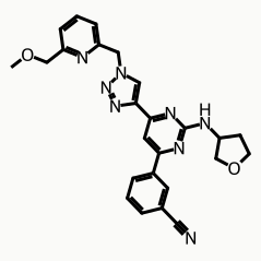 COCc1cccc(Cn2cc(-c3cc(-c4cccc(C#N)c4)nc(NC4CCOC4)n3)nn2)n1